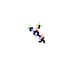 CCC1(CC)COC(c2cc(OCC(F)(F)F)c(N3CC(F)(F)C3)cn2)=N1